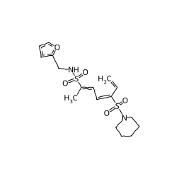 C=C/C(=C\C=C(/C)S(=O)(=O)NCc1ccco1)S(=O)(=O)N1CCCCC1